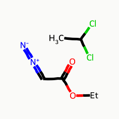 CC(Cl)Cl.CCOC(=O)C=[N+]=[N-]